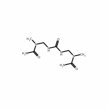 CN(CNC(=O)NCN(C)C(N)=O)C(N)=O